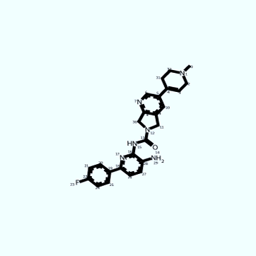 CN1CC=C(c2cnc3c(c2)CN(C(=O)Nc2nc(-c4ccc(F)cc4)ccc2N)C3)CC1